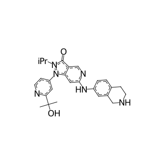 CC(C)n1c(=O)c2cnc(Nc3ccc4c(c3)CNCC4)cc2n1-c1ccnc(C(C)(C)O)c1